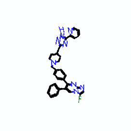 Fc1cnc2nc(-c3ccc(CN4CCC(c5n[nH]c(-c6ccccn6)n5)CC4)cc3)c(-c3ccccc3)cn12